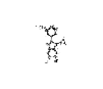 Fc1cc2nc(-c3cnnc(NC(F)(F)F)c3)n(C3CC3)c2cc1F